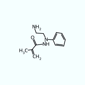 C=C(C)C(=O)NN(CCN)c1ccccc1